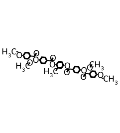 CCOc1ccc(C(=O)Oc2ccc(C(=O)Oc3ccc(OC(=O)c4ccc(OC(=O)c5ccc(OCC)cc5OC)cc4)c(C)c3)cc2)c(OC)c1